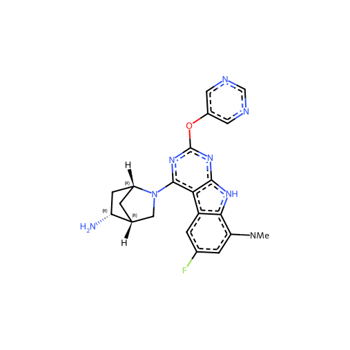 CNc1cc(F)cc2c1[nH]c1nc(Oc3cncnc3)nc(N3C[C@H]4C[C@@H]3C[C@H]4N)c12